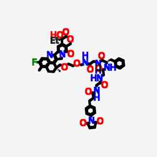 CC[C@@]1(O)C(=O)OCc2c1cc1n(c2=O)Cc2c-1nc1cc(F)c(C)c3c1c2[C@@](C)(COCCOCNC(=O)CNC(=O)[C@H](Cc1ccccc1)NC(=O)CNC(=O)CNC(=O)CCc1ccc(N2C(=O)C=CC2=O)cc1)CC3